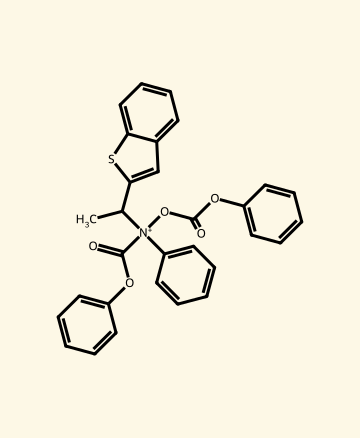 CC(c1cc2ccccc2s1)[N+](OC(=O)Oc1ccccc1)(C(=O)Oc1ccccc1)c1ccccc1